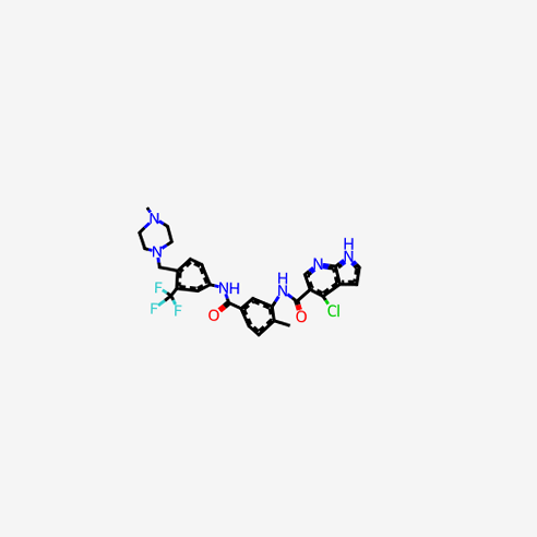 Cc1ccc(C(=O)Nc2ccc(CN3CCN(C)CC3)c(C(F)(F)F)c2)cc1NC(=O)c1cnc2[nH]ccc2c1Cl